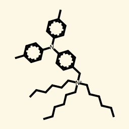 CCCCCC[N+](CCCCCC)(CCCCCC)Cc1ccc(N(c2ccc(C)cc2)c2ccc(C)cc2)cc1